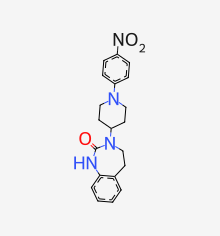 O=C1Nc2ccccc2CCN1C1CCN(c2ccc([N+](=O)[O-])cc2)CC1